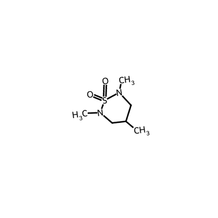 CC1CN(C)S(=O)(=O)N(C)C1